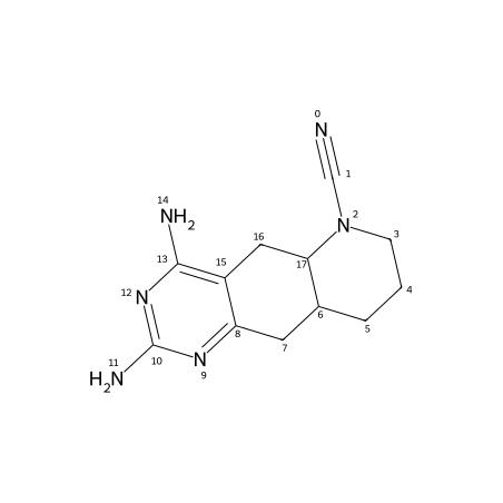 N#CN1CCCC2Cc3nc(N)nc(N)c3CC21